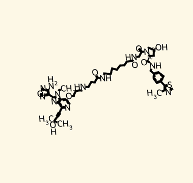 CCn1c(-c2nonc2N)nc2c(C#CC(C)(C)O)ncc(OCCCNCCCC(=O)NCCCCCCCC(=O)NCC(=O)N3C[C@H](O)C[C@H]3C(=O)NCc3ccc(-c4scnc4C)cc3)c21